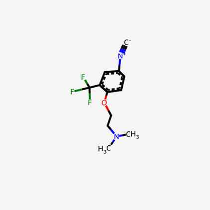 [C-]#[N+]c1ccc(OCCN(C)C)c(C(F)(F)F)c1